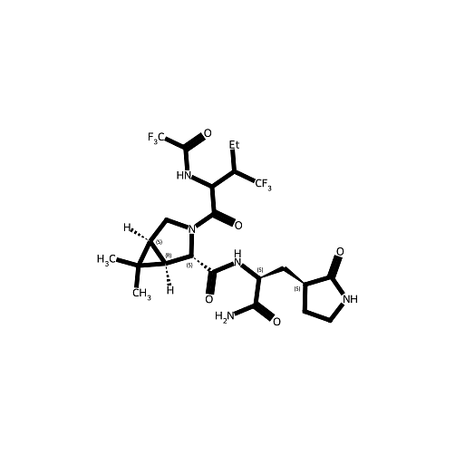 CCC(C(NC(=O)C(F)(F)F)C(=O)N1C[C@H]2[C@@H]([C@H]1C(=O)N[C@@H](C[C@@H]1CCNC1=O)C(N)=O)C2(C)C)C(F)(F)F